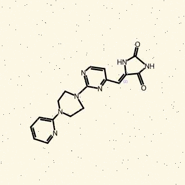 O=C1NC(=O)/C(=C/c2ccnc(N3CCN(c4ccccn4)CC3)n2)N1